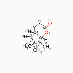 CC1(C)[C@@H]2CC[C@@]1(C)[C@H]1OC(=O)CC[C@@H]21